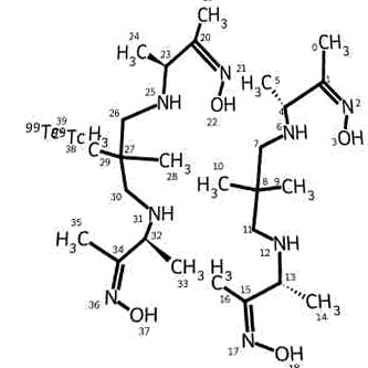 C/C(=N/O)[C@@H](C)NCC(C)(C)CN[C@H](C)/C(C)=N\O.C/C(=N/O)[C@H](C)NCC(C)(C)CN[C@@H](C)/C(C)=N\O.[99Tc].[99Tc]